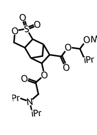 COC(OC(=O)C1C2CC(C3COS(=O)(=O)C32)C1OC(=O)CN(C(C)C)C(C)C)C(C)C